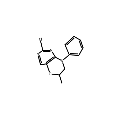 CC1CN(c2ccccc2)c2nc(Cl)ncc2O1